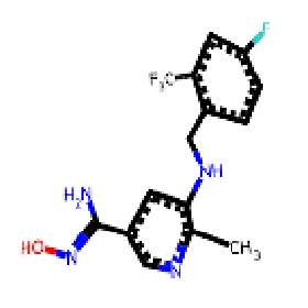 Cc1ncc(C(N)=NO)cc1NCc1ccc(F)cc1C(F)(F)F